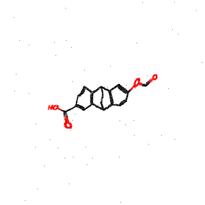 O=COc1ccc2c(c1)C1CCC2c2cc(C(=O)O)ccc21